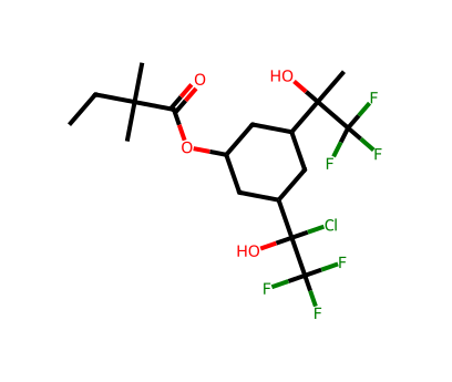 CCC(C)(C)C(=O)OC1CC(C(C)(O)C(F)(F)F)CC(C(O)(Cl)C(F)(F)F)C1